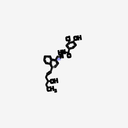 CCC(O)CC#Cc1ccc(/C=N/NC(=O)c2ccc(O)c(Cl)c2)c2ccccc12